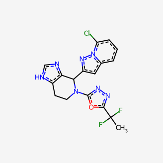 CC(F)(F)c1nnc(N2CCc3[nH]cnc3C2c2cc3cccc(Cl)n3n2)o1